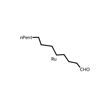 CCCCCCCCCCCCC=O.[Ru]